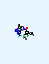 Cc1cc(C(=O)N2CCC(C)[C@H](c3cc(C(F)F)nc4ncnn34)C2)cc(C)c1Cl